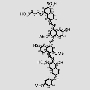 COc1ccc(Nc2ccc3c(O)c(N=Nc4c(OC)cc(N=Nc5c(OC)cc(N=Nc6ccc7cc(S(=O)(=O)O)cc(OCCCS(=O)(=O)O)c7c6)c6cc(S)ccc56)c5cc(S)ccc45)c(S(=O)(=O)O)cc3c2)cc1